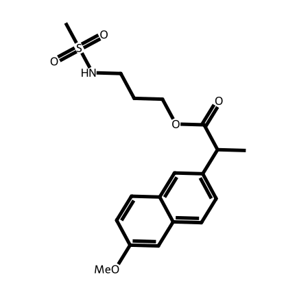 COc1ccc2cc(C(C)C(=O)OCCCNS(C)(=O)=O)ccc2c1